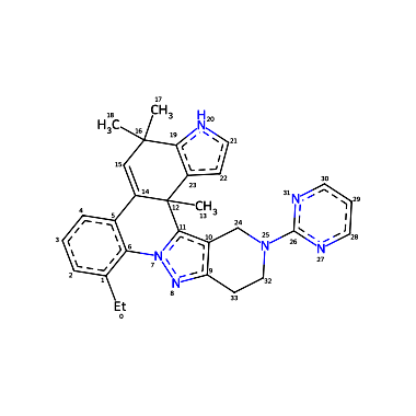 CCc1cccc2c1-n1nc3c(c1C1(C)C2=CC(C)(C)c2[nH]ccc21)CN(c1ncccn1)CC3